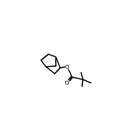 CC(C)(C)C(=O)OC1CC2CCC1C2